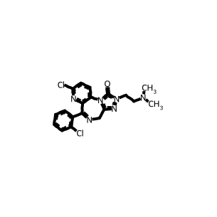 CN(C)CCn1nc2n(c1=O)-c1ccc(Cl)nc1C(c1ccccc1Cl)=NC2